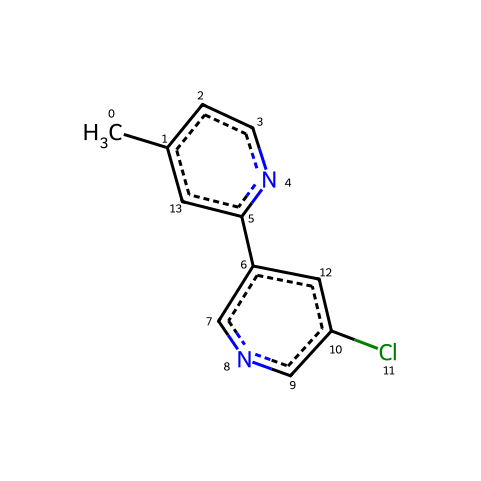 Cc1ccnc(-c2cncc(Cl)c2)c1